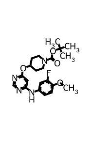 COc1ccc(Nc2cc(OC3CCN(C(=O)OC(C)(C)C)CC3)ncn2)cc1F